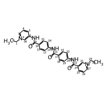 CC[n+]1cccc(NC(=O)c2ccc(NC(=O)c3ccc(NC(=O)c4ccc[n+](CC)c4)cc3)cc2)c1